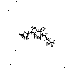 Cc1cnc(-c2ncn3c(=O)n(CCOC(F)(F)F)nnc23)s1